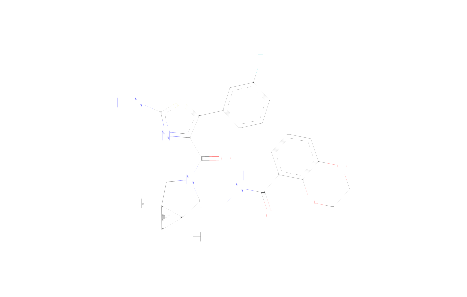 Nc1nc(C(=O)N2C[C@@H]3C[C@@H]3[C@H]2CNC(=O)c2cccc3c2OCCO3)c(-c2cccc(F)c2)s1